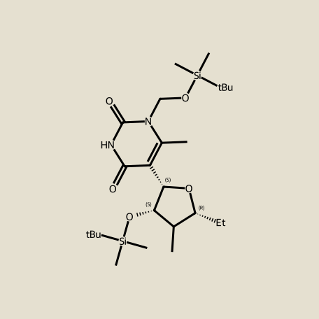 CC[C@H]1O[C@@H](c2c(C)n(CO[Si](C)(C)C(C)(C)C)c(=O)[nH]c2=O)[C@@H](O[Si](C)(C)C(C)(C)C)C1C